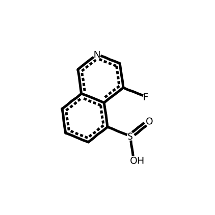 O=S(O)c1cccc2cncc(F)c12